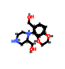 OCc1ccc2c(c1N1CCNCC1CO)OCCO2